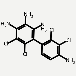 Nc1ccc(-c2c(N)c(N)c(N)c(Cl)c2Cl)c(Cl)c1Cl